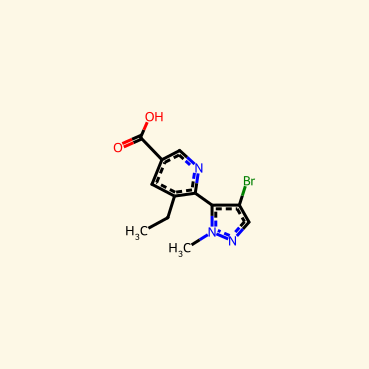 CCc1cc(C(=O)O)cnc1-c1c(Br)cnn1C